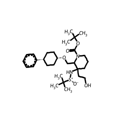 CC(C)(C)OC(=O)N1CCCC(CCO)(N[S@+]([O-])C(C)(C)C)C1CO[C@H]1CC[C@@H](c2ccccc2)CC1